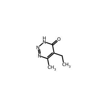 CCc1c(C)nn[nH]c1=O